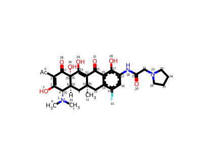 CC(=O)C1=C(O)[C@@H](N(C)C)[C@@H]2C[C@]3(C)Cc4c(F)cc(NC(=O)CN5CCCC5)c(O)c4C(=O)C3=C(O)[C@]2(O)C1=O